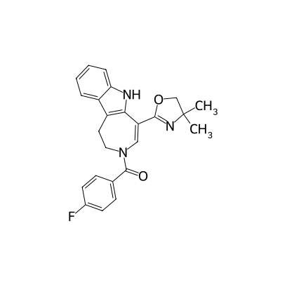 CC1(C)COC(C2=CN(C(=O)c3ccc(F)cc3)CCc3c2[nH]c2ccccc32)=N1